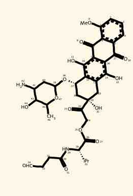 COc1cccc2c1C(=O)c1c(O)c3c(c(O)c1C2=O)C[C@@](O)(C(=O)COC(=O)[C@@H](NC(=O)CCC=O)C(C)C)C[C@@H]3OC1CC(N)C(O)C(C)O1